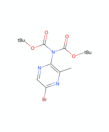 Cc1nc(Br)cnc1N(C(=O)OC(C)(C)C)C(=O)OC(C)(C)C